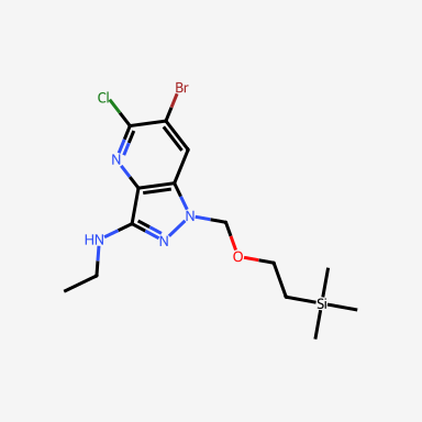 CCNc1nn(COCC[Si](C)(C)C)c2cc(Br)c(Cl)nc12